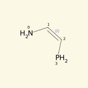 N/C=C\P